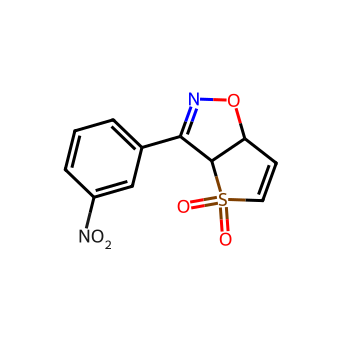 O=[N+]([O-])c1cccc(C2=NOC3C=CS(=O)(=O)C23)c1